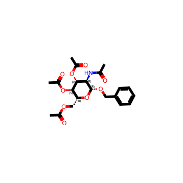 CC(=O)N[C@H]1[C@H](OCc2ccccc2)O[C@H](COC(C)=O)[C@@H](OC(C)=O)[C@@H]1OC(C)=O